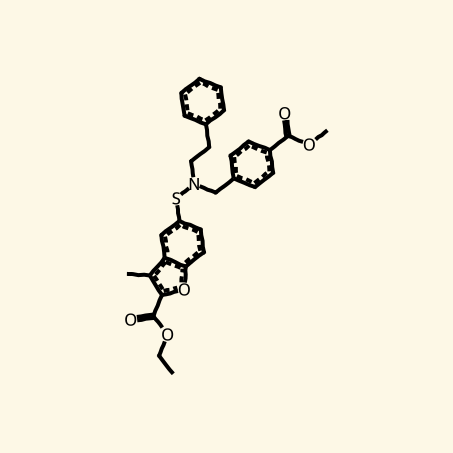 CCOC(=O)c1oc2ccc(SN(CCc3ccccc3)Cc3ccc(C(=O)OC)cc3)cc2c1C